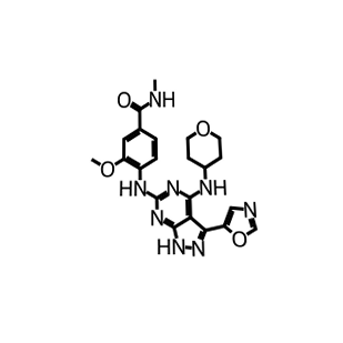 CNC(=O)c1ccc(Nc2nc(NC3CCOCC3)c3c(-c4cnco4)n[nH]c3n2)c(OC)c1